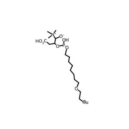 CCC(C)CCOCCCCCCCCOP(O)OC(CC(=O)O)C([O-])[N+](C)(C)C